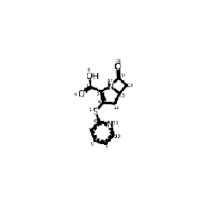 O=C(O)C1=C(Sc2ccccn2)CC2CC(=O)N12